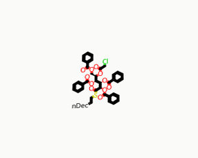 CCCCCCCCCCCCSC(=O)[C@H](OC(=O)c1ccccc1)[C@@H](OC(=O)c1ccccc1)[C@H](OC(=O)c1ccccc1)[C@@H](COC(=O)c1ccccc1)OC(=O)CCl